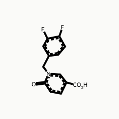 O=C(O)c1ccc(=O)n(Cc2ccc(F)c(F)c2)c1